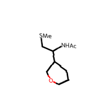 CSCC(NC(C)=O)C1CCCOC1